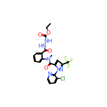 CCOC(=O)NNC(=O)c1ccccc1N(C)C(=O)c1cc(C(F)(F)F)nn1-c1ncccc1Cl